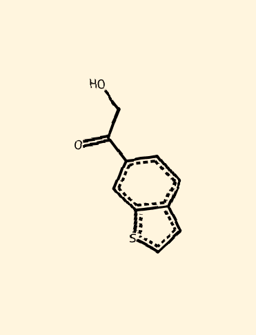 O=C(CO)c1ccc2ccsc2c1